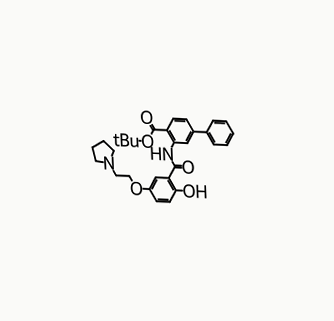 CC(C)(C)OC(=O)c1ccc(-c2ccccc2)cc1NC(=O)c1cc(OCCN2CCCC2)ccc1O